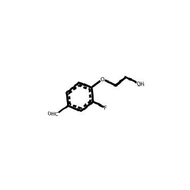 O=Cc1ccc(OCCO)c(F)c1